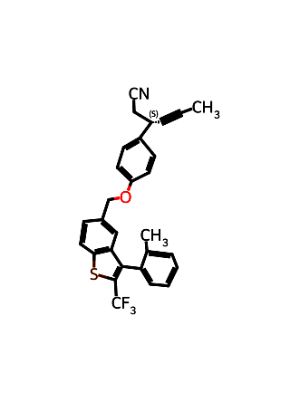 CC#C[C@@H](CC#N)c1ccc(OCc2ccc3sc(C(F)(F)F)c(-c4ccccc4C)c3c2)cc1